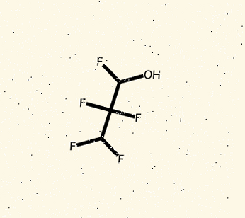 OC(F)C(F)(F)C(F)F